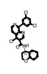 O=C(N[C@H]1CCOc2ccccc21)c1cnc2c(-c3cc(Cl)cc(Cl)c3)nccc2c1Cl